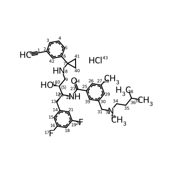 C#Cc1cccc(C2(NC[C@H](O)[C@H](Cc3cc(F)cc(F)c3)NC(=O)c3cc(C)cc(CN(C)CCC(C)C)c3)CC2)c1.Cl